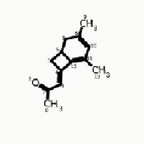 CC(=O)C=C1CC2CC(C)=CC(C)=C12